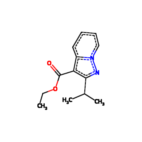 CCOC(=O)c1c(C(C)C)nn2ccccc12